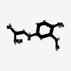 CCOc1cc(N/C=C(/C#N)C(=O)O)ccc1[N+](=O)[O-]